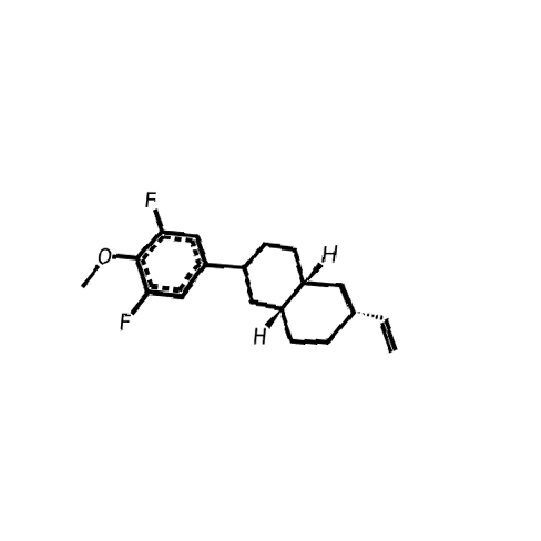 C=C[C@@H]1CC[C@@H]2CC(c3cc(F)c(OC)c(F)c3)CC[C@@H]2C1